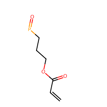 C=CC(=O)OCCCP=O